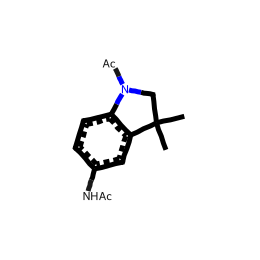 CC(=O)Nc1ccc2c(c1)C(C)(C)CN2C(C)=O